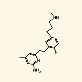 CNCCCc1ccc(F)c(CCc2cc(C)cc(N)n2)c1